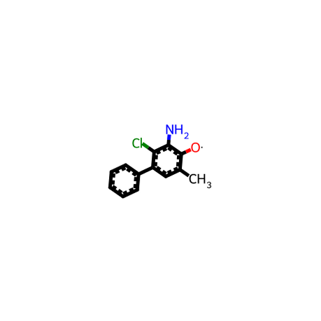 Cc1cc(-c2ccccc2)c(Cl)c(N)c1[O]